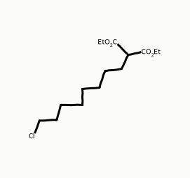 CCOC(=O)C(CCCCCCCCCl)C(=O)OCC